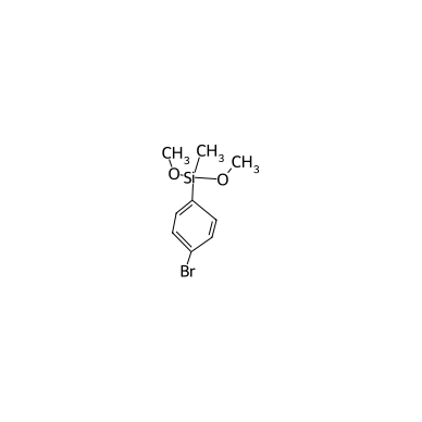 CO[Si](C)(OC)c1ccc(Br)cc1